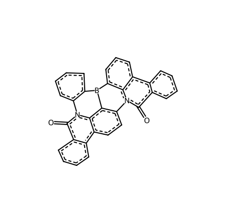 O=c1c2ccccc2c2cccc3c2n1-c1ccc2c4ccccc4c(=O)n4c2c1B3c1ccccc1-4